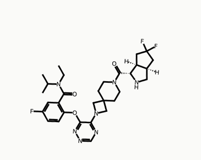 CCN(C(=O)c1cc(F)ccc1Oc1nncnc1N1CC2(CCN(C(=O)[C@H]3NC[C@@H]4CC(F)(F)C[C@@H]43)CC2)C1)C(C)C